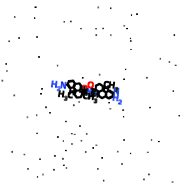 C[C@H]1CC[C@](C)(C(=O)NC(=O)[C@@]2(C)CC[C@H](C)[C@@H]3c4cc(N)ccc4CC[C@H]32)[C@@H]2CCc3ccc(N)cc3[C@H]21